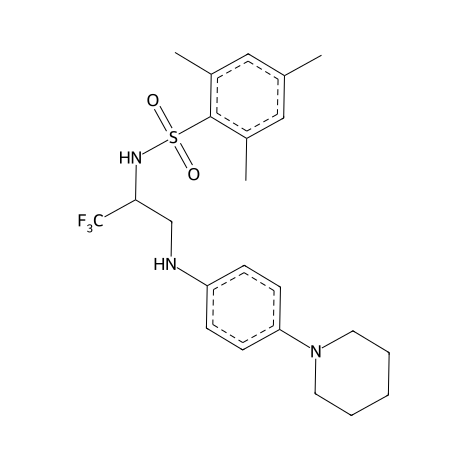 Cc1cc(C)c(S(=O)(=O)NC(CNc2ccc(N3CCCCC3)cc2)C(F)(F)F)c(C)c1